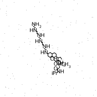 CC(C)NC(=O)CC[C@@H](C)[C@H]1CCC2C3CCC4C[C@@H](NCCNCCNCCNCCNCCN)CC[C@]4(C)C3C[C@H](O)[C@@]21C